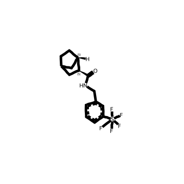 O=C(NCc1cccc(S(F)(F)(F)(F)F)c1)[C@H]1CC2CC[C@H]1C2